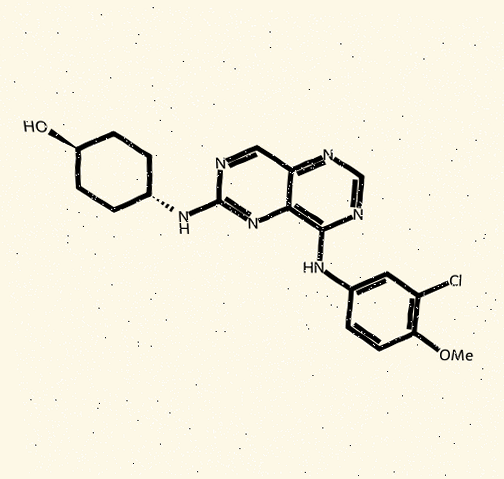 COc1ccc(Nc2ncnc3cnc(N[C@H]4CC[C@H](O)CC4)nc23)cc1Cl